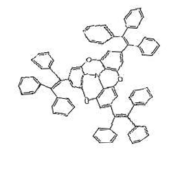 c1ccc(C(=C(c2ccccc2)c2cc3c4c(c2)Oc2cc(C(=C(c5ccccc5)c5ccccc5)c5ccccc5)cc5c2N4c2c(cc(C(=C(c4ccccc4)c4ccccc4)c4ccccc4)cc2O5)O3)c2ccccc2)cc1